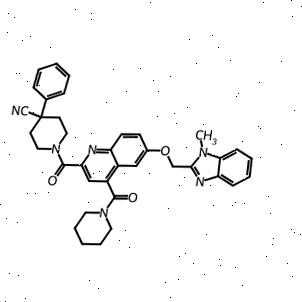 Cn1c(COc2ccc3nc(C(=O)N4CCC(C#N)(c5ccccc5)CC4)cc(C(=O)N4CCCCC4)c3c2)nc2ccccc21